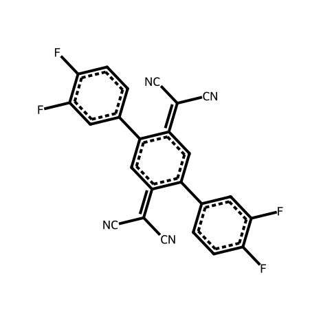 N#CC(C#N)=c1cc(-c2ccc(F)c(F)c2)c(=C(C#N)C#N)cc1-c1ccc(F)c(F)c1